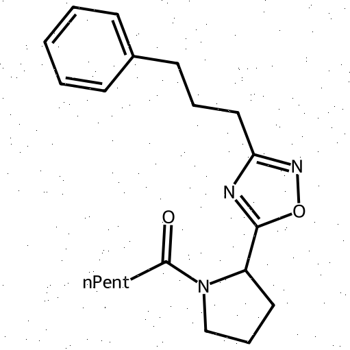 CCCCCC(=O)N1CCCC1c1nc(CCCc2ccccc2)no1